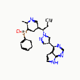 CC1N=CC(C(CC#N)N2CC(c3ncnc4[nH]ccc34)C=N2)CC1[S@+]([O-])C1=CC=CCC1